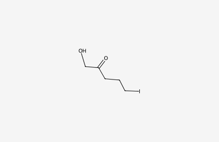 O=C(CO)CCCI